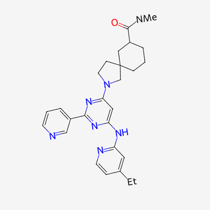 CCc1ccnc(Nc2cc(N3CCC4(CCCC(C(=O)NC)C4)C3)nc(-c3cccnc3)n2)c1